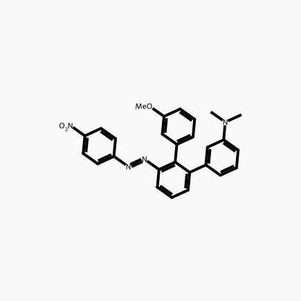 COc1cccc(-c2c(N=Nc3ccc([N+](=O)[O-])cc3)[c]ccc2-c2cccc(N(C)C)c2)c1